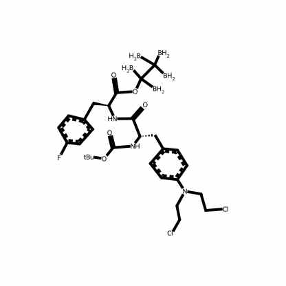 BC(B)(B)C(B)(B)OC(=O)[C@H](Cc1ccc(F)cc1)NC(=O)[C@H](Cc1ccc(N(CCCl)CCCl)cc1)NC(=O)OC(C)(C)C